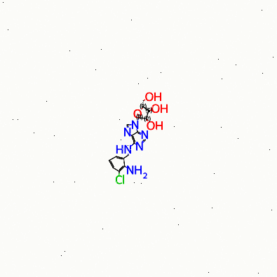 Nc1c(Cl)cccc1CNc1ncnc2c1ncn2[C@@H]1O[C@H](CO)[C@@H](O)[C@H]1O